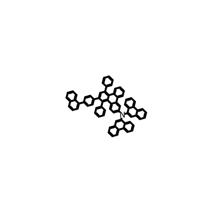 c1ccc(-c2cc(-c3ccc(-c4cccc5ccccc45)cc3)c(-c3ccccc3)c3c4ccc(N(c5cc6ccccc6c6ccccc56)c5cc6ccccc6c6ccccc56)cc4c4ccccc4c23)cc1